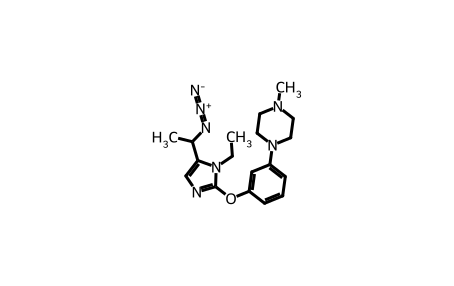 CCn1c(C(C)N=[N+]=[N-])cnc1Oc1cccc(N2CCN(C)CC2)c1